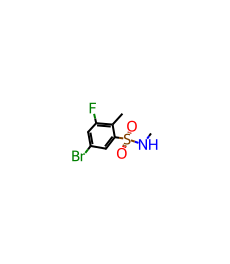 CNS(=O)(=O)c1cc(Br)cc(F)c1C